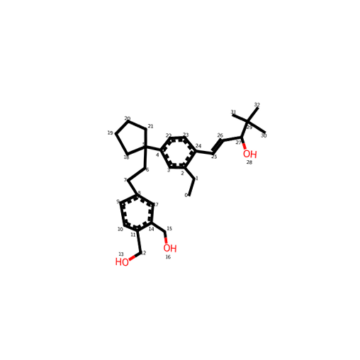 CCc1cc(C2(CCc3ccc(CO)c(CO)c3)CCCC2)ccc1/C=C/C(O)C(C)(C)C